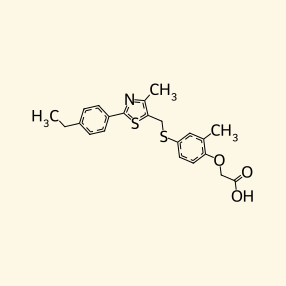 CCc1ccc(-c2nc(C)c(CSc3ccc(OCC(=O)O)c(C)c3)s2)cc1